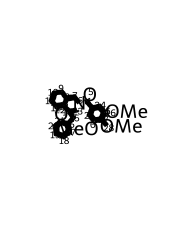 COc1cc(C(=O)N2C=C3CC=CC=C3C3(Cc4ccccc4O3)C2)cc(OC)c1OC